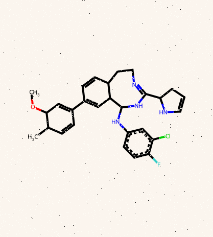 COC1C=C(C2=CC3C(C=C2)CC/N=C(\C2CC=CN2)NC3Nc2ccc(F)c(Cl)c2)C=CC1C